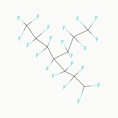 FC(F)C(F)(F)C(F)(F)C(F)(C(F)(F)C(F)(F)C(F)(F)F)C(F)(F)C(F)(F)C(F)(F)F